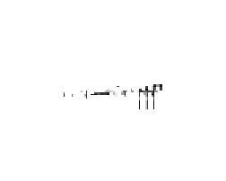 CC(=O)NCCCOCCOCCOCCCNC(=O)Nc1ccc(C)cc1